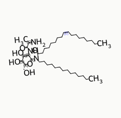 CCCCCCCC/C=C\CCCCCCCC(=O)N(CCCCCCCCCCCCCC)[C@@H]1O[C@H](CO)[C@@H](O)[C@H](O)[C@H]1NC(=O)[C@H](C)N